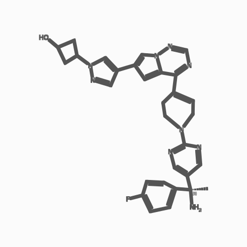 C[C@](N)(c1ccc(F)cc1)c1cnc(N2CC=C(c3ncnn4cc(-c5cnn(C6CC(O)C6)c5)cc34)CC2)nc1